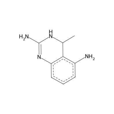 CC1NC(N)=Nc2cccc(N)c21